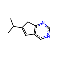 CC(C)C1=Cc2cncnc2C1